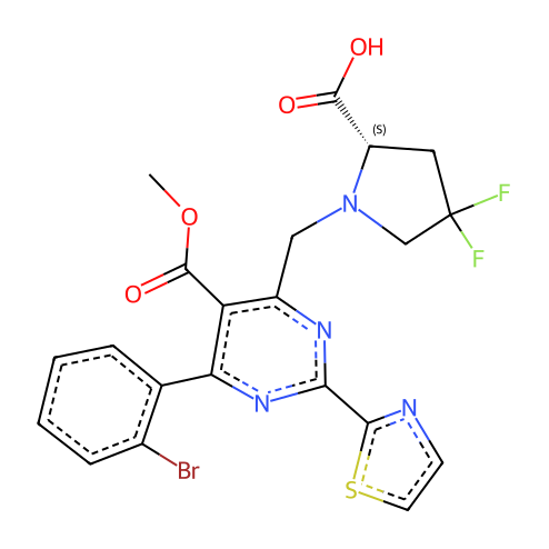 COC(=O)c1c(CN2CC(F)(F)C[C@H]2C(=O)O)nc(-c2nccs2)nc1-c1ccccc1Br